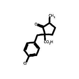 CC1CCC(Cc2ccc(Cl)cc2)(C(=O)O)C1=O